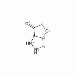 O=C1COC2CNNC12